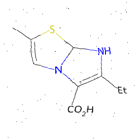 CCC1=C(C(=O)O)N2C=C(C)SC2N1